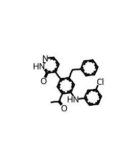 CC(=O)c1cc(-c2ccn[nH]c2=O)c(Cc2ccccc2)cc1Nc1cccc(Cl)c1